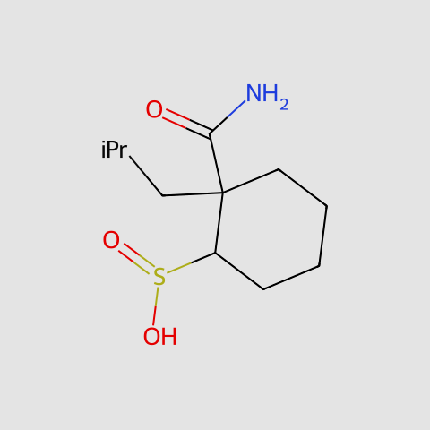 CC(C)CC1(C(N)=O)CCCCC1S(=O)O